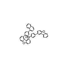 c1ccc2c(-c3ccc(-c4cccc5oc6cccc(Nc7ccc(-c8ccc9oc%10ccccc%10c9c8)cc7)c6c45)cc3)cccc2c1